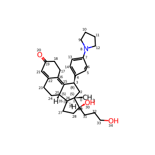 C[C@]12C[C@H](c3ccc(N4CCCC4)cc3)C3=C4CCC(=O)C=C4CC[C@H]3[C@@H]1CC[C@@]2(O)CCCO